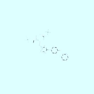 CC(C)(C)OC(=O)C[C@H](Cn1nnc(-c2ccc(Oc3ccc(Cl)cn3)cc2)n1)NC(=O)OC(C)(C)C